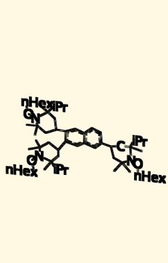 CCCCCCON1C(C)(C)CC(c2ccc3cc(C4CC(C)(C)N(OCCCCCC)C(C)(C(C)C)C4)c(C4CC(C)(C)N(OCCCCCC)C(C)(C(C)C)C4)cc3c2)CC1(C)C(C)C